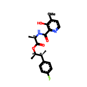 COc1ccnc(C(=O)N[C@H](C)C(=O)O[C@H](C)[C@H](C)c2ccc(F)cc2)c1O